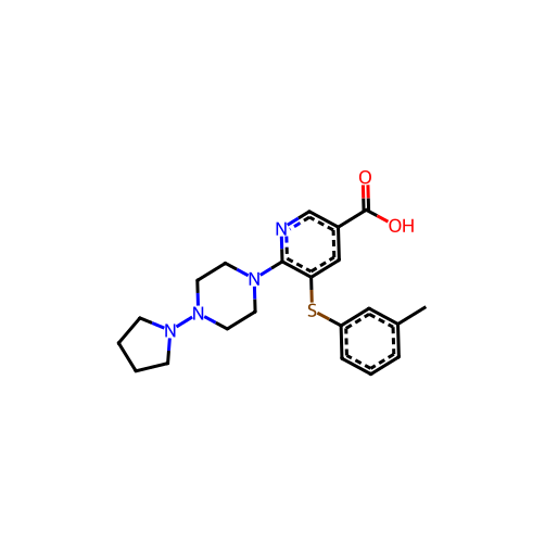 Cc1cccc(Sc2cc(C(=O)O)cnc2N2CCN(N3CCCC3)CC2)c1